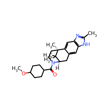 COC1CCC(C(=O)N2CC[C@@]3(C)c4cc5nc(C)[nH]c5cc4C[C@@H]2C3(C)C)CC1